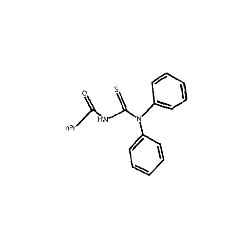 CCCC(=O)NC(=S)N(c1ccccc1)c1ccccc1